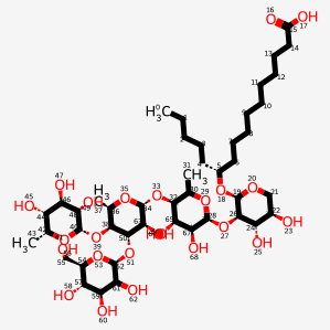 CCCCC[C@H](CCCCCCCCCC(=O)O)O[C@H]1OC[C@@H](O)[C@H](O)[C@H]1O[C@@H]1OC(C)[C@H](O[C@H]2O[C@@H](C)[C@H](O[C@@H]3O[C@H](C)[C@H](O)[C@@H](O)[C@@H]3O)[C@@H](O[C@@H]3O[C@H](CO)[C@@H](O)[C@H](O)C3O)[C@@H]2O)[C@H](O)[C@@H]1O